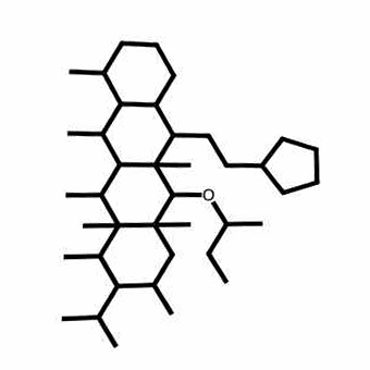 CCC(C)OC1C2(C)C(CCC3CCCC3)C3CCCC(C)C3C(C)C2C(C)C2(C)C(C)C(C(C)C)C(C)CC12C